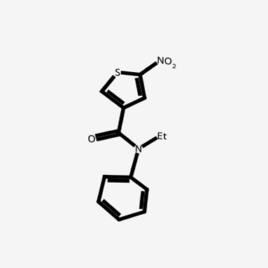 CCN(C(=O)c1csc([N+](=O)[O-])c1)c1ccccc1